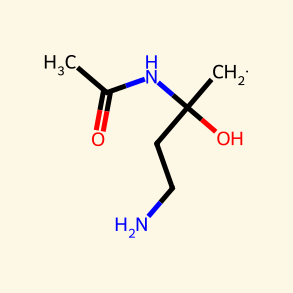 [CH2]C(O)(CCN)NC(C)=O